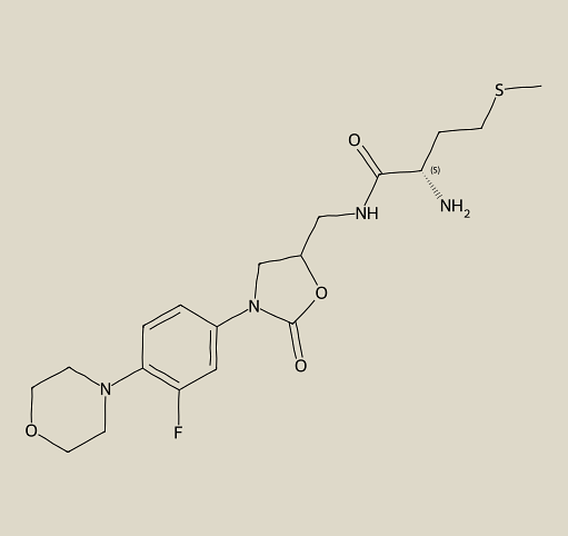 CSCC[C@H](N)C(=O)NCC1CN(c2ccc(N3CCOCC3)c(F)c2)C(=O)O1